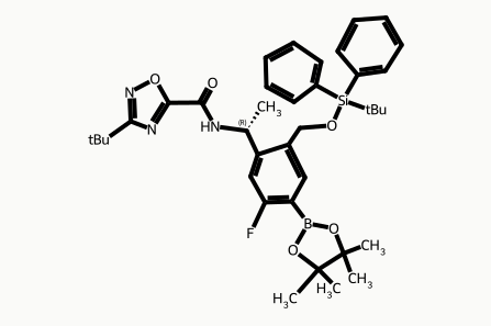 C[C@@H](NC(=O)c1nc(C(C)(C)C)no1)c1cc(F)c(B2OC(C)(C)C(C)(C)O2)cc1CO[Si](c1ccccc1)(c1ccccc1)C(C)(C)C